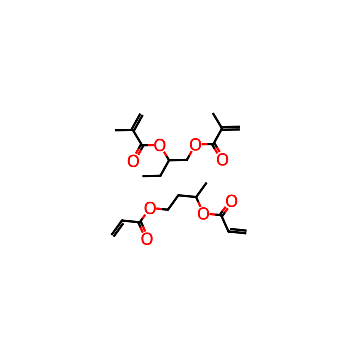 C=C(C)C(=O)OCC(CC)OC(=O)C(=C)C.C=CC(=O)OCCC(C)OC(=O)C=C